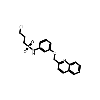 O=S(=O)(CCCCl)Nc1cccc(OCc2ccc3ccccc3n2)c1